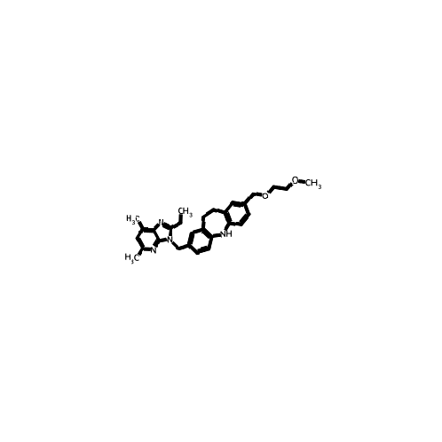 CCc1nc2c(C)cc(C)nc2n1Cc1ccc2c(c1)CCc1cc(COCCOC)ccc1N2